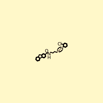 O=C(NCCCCN1CCN(c2ccccc2Cl)CC1)c1ccc2c(c1)Cc1ccccc1-2